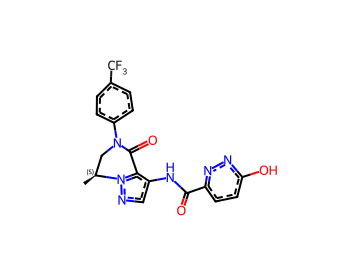 C[C@H]1CN(c2ccc(C(F)(F)F)cc2)C(=O)c2c(NC(=O)c3ccc(O)nn3)cnn21